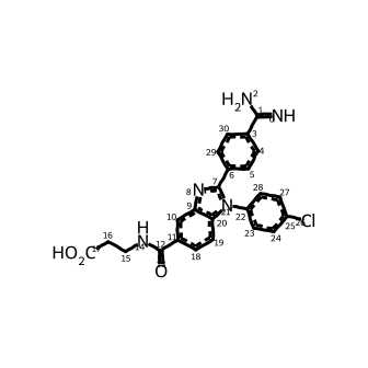 N=C(N)c1ccc(-c2nc3cc(C(=O)NCCC(=O)O)ccc3n2-c2ccc(Cl)cc2)cc1